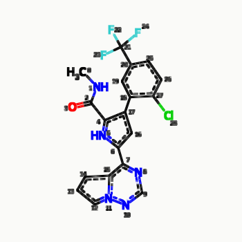 CNC(=O)c1[nH]c(-c2ncnn3cccc23)cc1-c1cc(C(F)(F)F)ccc1Cl